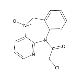 O=C(CCl)N1c2ccccc2C[NH+]([O-])c2cccnc21